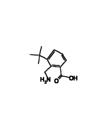 CC(C)(C)c1cccc(C(=O)O)c1CN